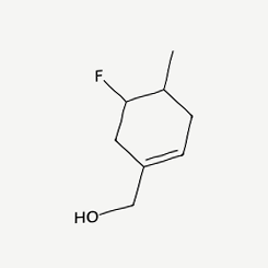 CC1CC=C(CO)CC1F